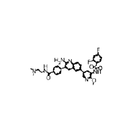 COc1ncc(-c2ccc3nc(N)c(-c4ccc(C(=O)NCCN(C)C)cc4)cc3c2)cc1NS(=O)(=O)c1ccc(F)cc1F